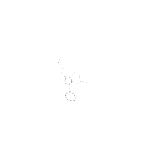 CCCCn1nc(-c2ccccc2)c(CC(C)C)c1O